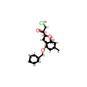 Cc1cc(OCc2ccccc2)c2cc(C(=O)CCl)oc2c1